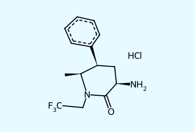 C[C@H]1[C@@H](c2ccccc2)C[C@@H](N)C(=O)N1CC(F)(F)F.Cl